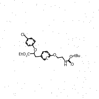 CCOC(=O)C(Cc1ccc(OCCNC(=O)OC(C)(C)C)cc1)Oc1ccc(Cl)cc1